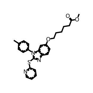 COC(=O)CCCCCOc1ccc2nc(Sc3ccccn3)n(-c3ccc(C)cc3)c2c1